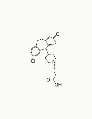 O=C(O)CCCN1CCC(C2C3=CCC(=O)C=C3CCc3ccc(Cl)cc32)CC1